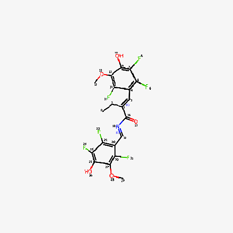 CC/C(=C\c1c(F)c(F)c(O)c(OC)c1F)C(=O)/N=C/c1c(F)c(F)c(O)c(OC)c1F